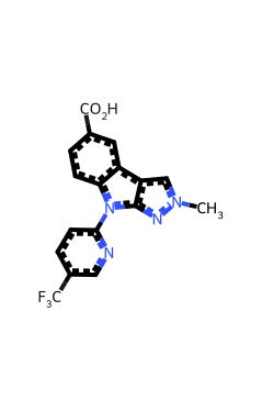 Cn1cc2c3cc(C(=O)O)ccc3n(-c3ccc(C(F)(F)F)cn3)c2n1